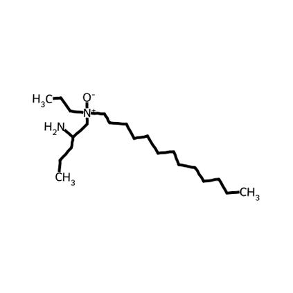 CCCCCCCCCCCCC[N+]([O-])(CCC)CC(N)CCC